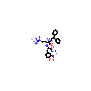 N=C(N)NCCC[C@](N)(CCC(c1ccccc1)c1ccccc1)C(=O)N[C@@H](Cc1ccc(O)c(I)c1)C(N)=O